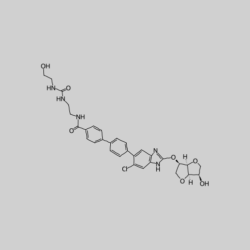 O=C(NCCO)NCCNC(=O)c1ccc(-c2ccc(-c3cc4nc(O[C@@H]5CO[C@H]6[C@@H]5OC[C@H]6O)[nH]c4cc3Cl)cc2)cc1